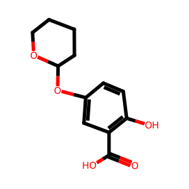 O=C(O)c1cc(OC2CCCCO2)ccc1O